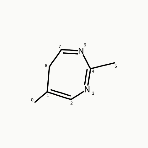 CC1=CN=C(C)N=CC1